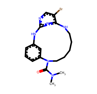 CN(C)C(=O)N1CCCCCNc2nc(ncc2Br)Nc2cccc1c2